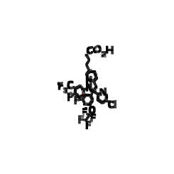 O=C(O)CCCc1ccc(C[C@](Nc2ccc(F)c(C(F)(F)F)c2)(c2cc(F)cc(OC(F)(F)C(F)F)c2)c2ccc(Cl)cn2)cc1